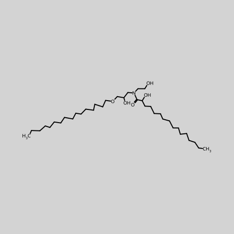 CCCCCCCCCCCCCCCCOCC(O)CN(CCO)C(=O)C(O)CCCCCCCCCCCCCC